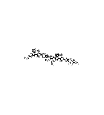 C=C(C)C(=O)N1CCC2(CC1)CN(c1ccc(-c3cc(OCC)c(/C=C/C(C)C(=O)N4CC5(CCN(c6ccc(-c7cc(OCC)cn8ncc(C#N)c78)cn6)CC5)C4)n4ncc(C#N)c34)cn1)C2